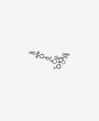 COC(=O)N[C@H]1CCC[C@@H]1[C@](CN1CCC1)(c1cccc(F)c1)C1CCN(CC2(F)CN(c3ccc(S(=O)(=O)C4CNC4)cc3)C2)CC1